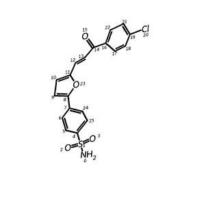 NS(=O)(=O)c1ccc(-c2ccc(C=CC(=O)c3ccc(Cl)cc3)o2)cc1